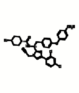 C#CCn1cc(-c2ccc(Cl)cc2Cl)nc1[C@H](Cc1ccc(Oc2ccc(C(=O)O)cc2)cc1)NC(=O)[C@H]1CC[C@H](CC)CC1